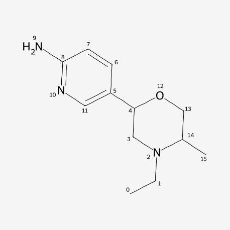 CCN1CC(c2ccc(N)nc2)OCC1C